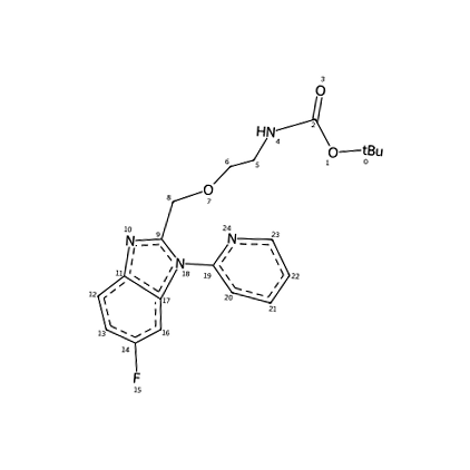 CC(C)(C)OC(=O)NCCOCc1nc2ccc(F)cc2n1-c1ccccn1